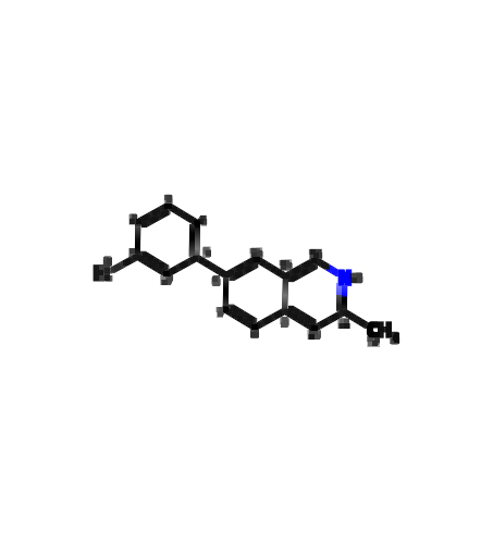 CCc1cccc(-c2ccc3cc(C)ncc3c2)c1